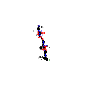 Cc1ncsc1-c1ccc([C@H](C)NC(=O)[C@@H]2C[C@@H](O)CN2C(=O)C(NC(=O)COCCOCCN2CCN(CCC(CSc3ccccc3)Nc3ccc(S(=O)(=O)NC(=O)c4ccc(N5CCN(CC6=C(c7ccc(Cl)cc7)CCC(C)(C)C6)CC5)cc4)cc3S(=O)(=O)C(F)(F)F)CC2)C(C)(C)C)cc1